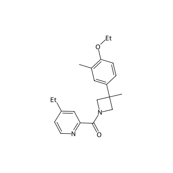 CCOc1ccc(C2(C)CN(C(=O)c3cc(CC)ccn3)C2)cc1C